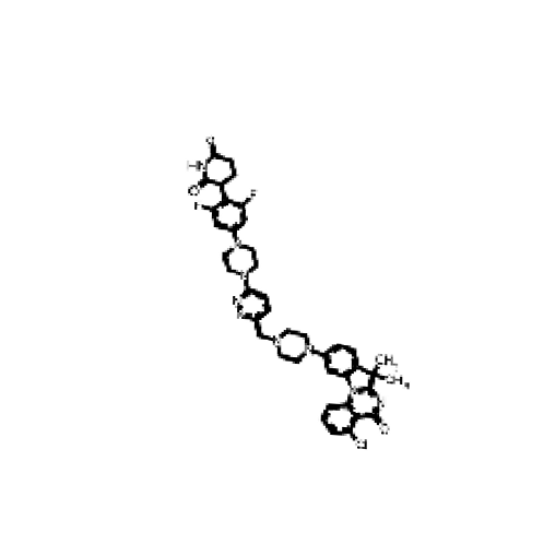 CC1(C)c2ccc(N3CCN(Cc4ccc(N5CCN(c6cc(F)c(C7CCC(=O)NC7=O)c(F)c6)CC5)nn4)CC3)cc2-n2c1nc(=O)c1c(Cl)cccc12